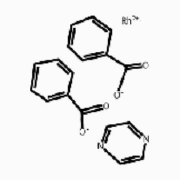 O=C([O-])c1ccccc1.O=C([O-])c1ccccc1.[Rh+2].c1cnccn1